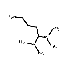 BCCCC(N(C)C)N(C)C